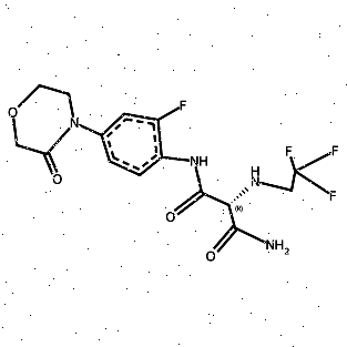 NC(=O)[C@@H](NCC(F)(F)F)C(=O)Nc1ccc(N2CCOCC2=O)cc1F